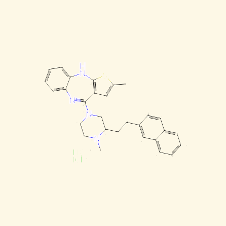 Cc1cc2c(s1)Nc1ccccc1N=C2N1CCN(C)C(CCc2ccc3ccccc3c2)C1.Cl.Cl